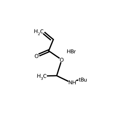 Br.C=CC(=O)OC(C)NC(C)(C)C